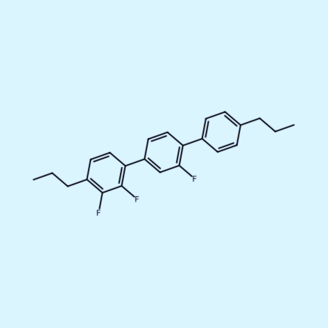 CCCc1ccc(-c2ccc(-c3ccc(CCC)c(F)c3F)cc2F)cc1